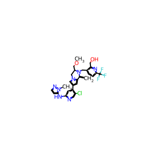 C=C1c2cc(-c3cc(Nc4ccnn4C)ncc3Cl)cn2CC(COC)N1Cc1ccc(C(F)(F)F)nc1CO